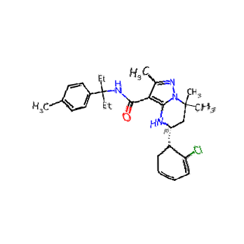 CCC(CC)(NC(=O)c1c(C)nn2c1N[C@@H](C1CC=CC=C1Cl)CC2(C)C)c1ccc(C)cc1